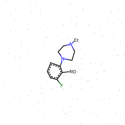 CCN1CCN(c2cccc(F)c2N=O)CC1